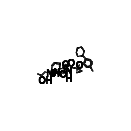 Cc1ccc(C2CCCCC2)c(OC2(C(=O)NS(=O)(=O)c3cccc(NCC(C)O)n3)CC2)c1